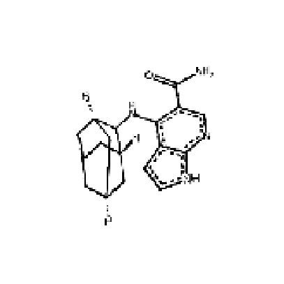 NC(=O)c1cnc2[nH]ccc2c1NC1[C@H]2CC3C[C@H](C2)C[C@H]1C3